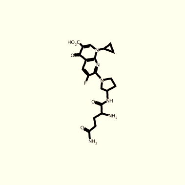 NC(=O)CCC(N)C(=O)NC1CCN(c2nc3c(cc2F)c(=O)c(C(=O)O)cn3C2CC2)C1